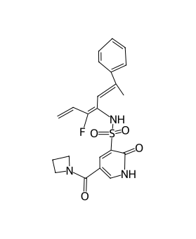 C=C/C(F)=C(\C=C(/C)c1ccccc1)NS(=O)(=O)c1cc(C(=O)N2CCC2)c[nH]c1=O